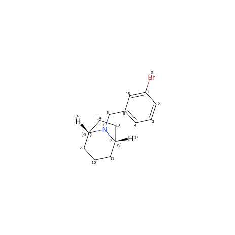 Brc1cccc(CN2[C@@H]3CCC[C@H]2CC3)c1